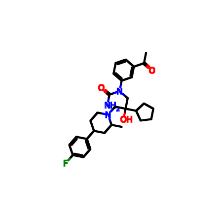 CC(=O)c1cccc(N(CC(O)(CN2CCC(c3ccc(F)cc3)CC2C)C2CCCC2)C(N)=O)c1